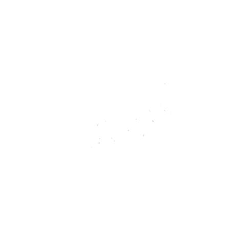 CCOC(=O)CCC(C)=CCCC(CCl)OC(C)OCC(C)C